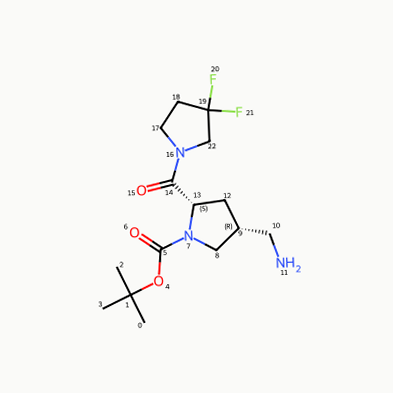 CC(C)(C)OC(=O)N1C[C@@H](CN)C[C@H]1C(=O)N1CCC(F)(F)C1